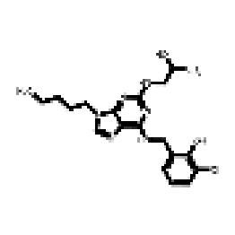 CCCCCn1cnc2c(NCc3cccc(Cl)c3O)nc(NCC(C)O)nc21